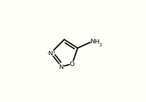 NC1=C[N+]=NO1